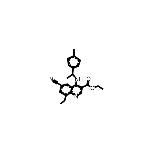 CCOC(=O)c1cnc2c(CC)cc(C#N)cc2c1NC(C)c1ccc(C)cc1